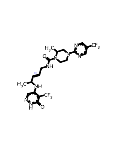 CC(/C=C/CNC(=O)N1CCN(c2ncc(C(F)(F)F)cn2)CC1C)Nc1cn[nH]c(=O)c1C(F)(F)F